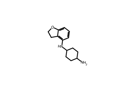 NC1CCC(Nc2cccc3c2CCO3)CC1